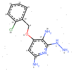 NNc1nc(N)cc(OCc2ccccc2Cl)c1N